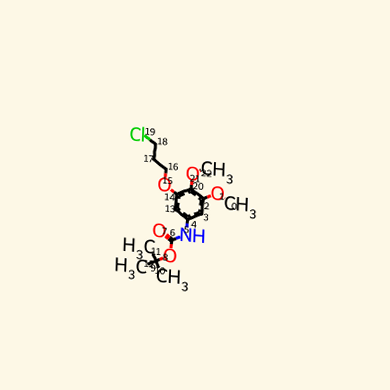 COc1cc(NC(=O)OC(C)(C)C)cc(OCCCCl)c1OC